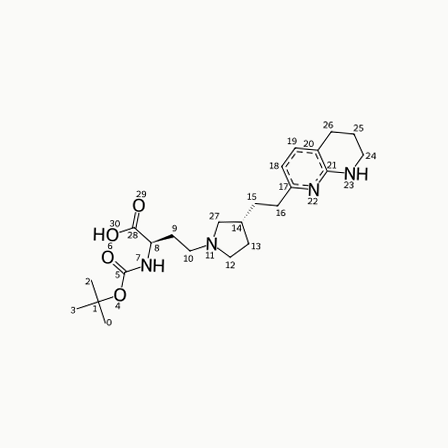 CC(C)(C)OC(=O)N[C@H](CCN1CC[C@@H](CCc2ccc3c(n2)NCCC3)C1)C(=O)O